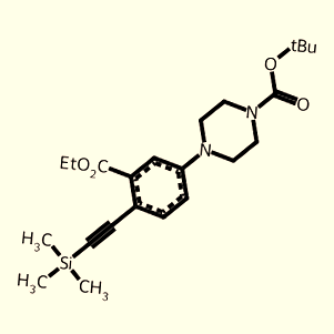 CCOC(=O)c1cc(N2CCN(C(=O)OC(C)(C)C)CC2)ccc1C#C[Si](C)(C)C